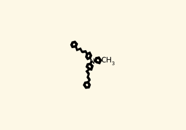 Cc1ccc(N(c2ccc(/C=C/C=C/c3ccccc3)cc2)c2ccc(/C=C/CCc3ccccc3)cc2)cc1